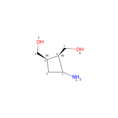 NC1C[C@@H](CO)[C@H]1CO